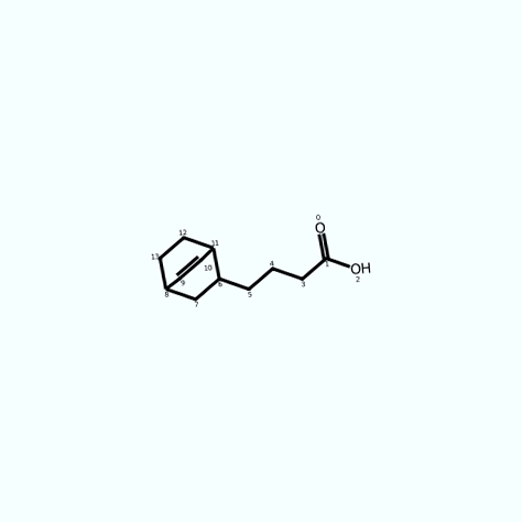 O=C(O)CCCC1CC2C=CC1CC2